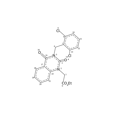 CCOC(=O)Cn1c(=O)n(Cc2c(Cl)cccc2Cl)c(=O)c2ccccc21